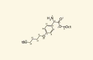 CCCCCCCCOC(=O)C(N)c1ccc(OCCCCC(C)(C)C)cc1